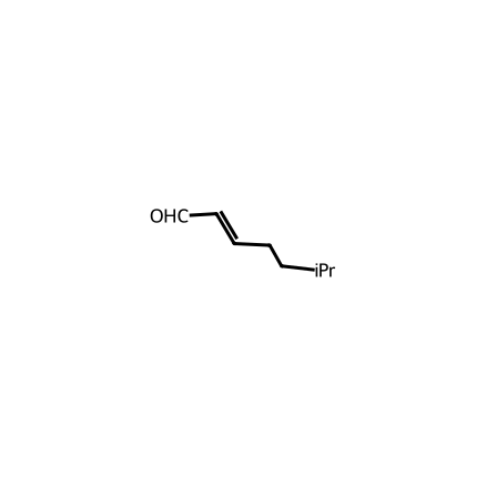 CC(C)CCC=CC=O